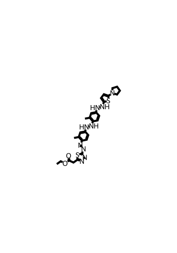 CCOC(=O)Cc1nnc(/N=N/c2ccc(NNc3ccc(NNc4ccc(N5CCCC5)s4)cc3C)cc2C)s1